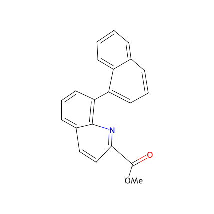 COC(=O)c1ccc2cccc(-c3cccc4ccccc34)c2n1